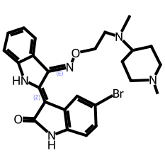 CN1CCC(N(C)CCO/N=C2/C(=C3/C(=O)Nc4ccc(Br)cc43)Nc3ccccc32)CC1